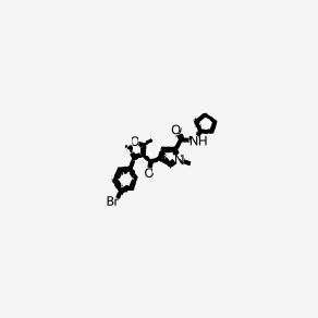 Cc1onc(-c2ccc(Br)cc2)c1C(=O)c1cc(C(=O)NC2CCCC2)n(C)c1